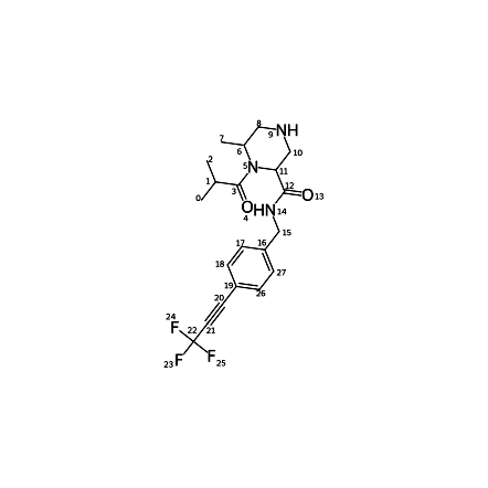 CC(C)C(=O)N1C(C)CNCC1C(=O)NCc1ccc(C#CC(F)(F)F)cc1